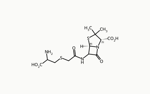 CC1(C)S[C@@H]2C(NC(=O)CSCC(N)C(=O)O)C(=O)N2[C@H]1C(=O)O